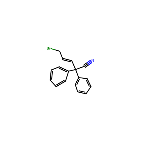 N#CC(C=CCBr)(c1ccccc1)c1ccccc1